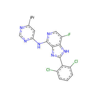 CC(C)c1cc(Nc2ncc(F)c3[nH]c(-c4c(Cl)cccc4Cl)nc23)ncn1